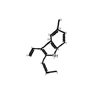 C=Cc1c(/C=C\C)[nH]c2ccc(C)cc12